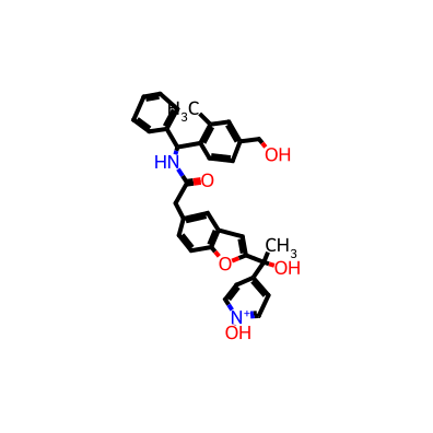 Cc1cc(CO)ccc1C(NC(=O)Cc1ccc2oc(C(C)(O)c3cc[n+](O)cc3)cc2c1)c1ccccc1